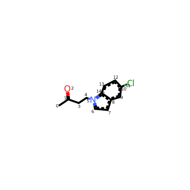 CC(=O)CCn1ccc2cc(Cl)ccc21